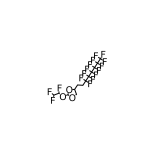 FC(F)C(F)OC1OCC(CCC(F)(F)C(F)(F)C(F)(F)C(F)(F)C(F)(F)C(F)(F)F)O1